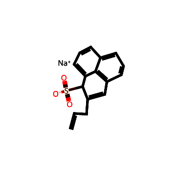 C=CCC1=Cc2cccc3cccc(c23)C1S(=O)(=O)[O-].[Na+]